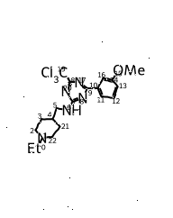 CCN1CCC(CNc2nc(-c3cccc(OC)c3)nc(C(Cl)(Cl)Cl)n2)CC1